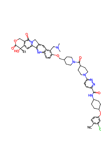 CC[C@@]1(O)C(=O)OCc2c1cc1n(c2=O)Cc2cc3c(CN(C)C)c(OCC4CCN(C(=O)C5CCN(c6ccc(C(=O)NC7CCC(Oc8ccc(C#N)c(Cl)c8)CC7)nn6)CC5)CC4)ccc3nc2-1